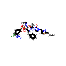 COCc1nc(CN2CCN([C@H](C(=O)N[C@@H](Cc3ccccc3)[C@H](O)CN(CC(C)C)S(=O)(=O)c3ccc(Cl)c(N)c3)C(C)(C)C)C2=O)cs1